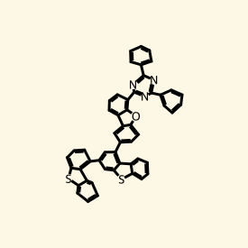 c1ccc(-c2nc(-c3ccccc3)nc(-c3cccc4c3oc3ccc(-c5cc(-c6cccc7sc8ccccc8c67)cc6sc7ccccc7c56)cc34)n2)cc1